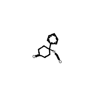 O=C=NC1(c2ccccc2)CCC(=O)CC1